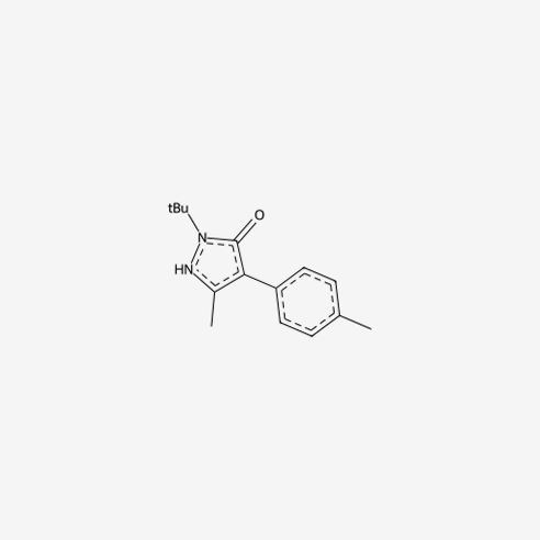 Cc1ccc(-c2c(C)[nH]n(C(C)(C)C)c2=O)cc1